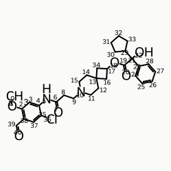 COc1cc(NC(=O)CCN2CCC3(CC2)CC(OC(=O)C(O)(c2ccccc2)C2CCCC2)C3)c(Cl)cc1C=O